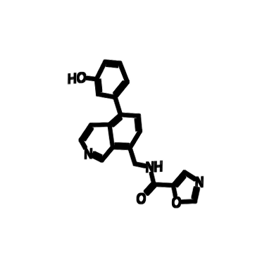 O=C(NCc1ccc(-c2cccc(O)c2)c2ccncc12)c1cnco1